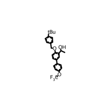 CC(O)c1cc(-c2ccc(OC(F)(F)F)cc2)ccc1OCc1ccc(C(C)(C)C)cc1